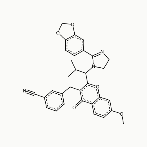 COc1ccc2c(=O)c(Cc3cccc(C#N)c3)c(C(C(C)C)N3CCN=C3c3ccc4c(c3)OCO4)oc2c1